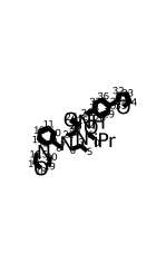 CC(C)C(=O)N1C(C)CN(Cc2ccccc2N2CCOCC2)CC1C(=O)NCc1ccc(-c2ccco2)cc1